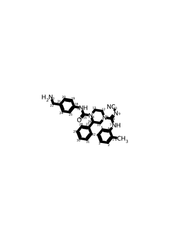 Cc1ccccc1N/C(=N/C#N)N1CCN(C(=O)Nc2ccc(CN)cc2)C(c2ccccc2)C1